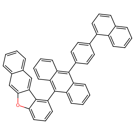 c1ccc2cc3c(cc2c1)oc1cccc(-c2c4ccccc4c(-c4ccc(-c5cccc6ccccc56)cc4)c4ccccc24)c13